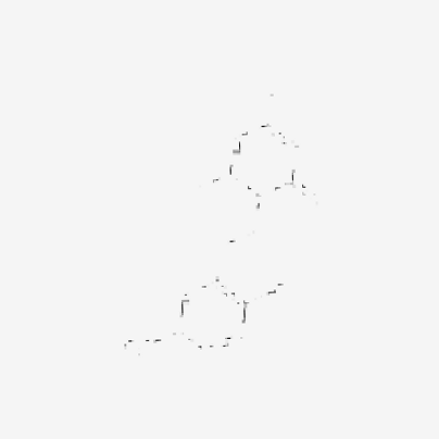 Cc1cc(C(F)(F)F)nc(=O)n1CCc1cc(C(=O)O)ccc1Cl